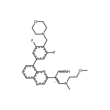 COCCN(C)/C=C(\C=N)c1cnc2cccc(-c3cc(F)c(CN4CCOCC4)c(F)c3)c2n1